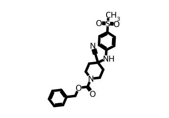 CS(=O)(=O)c1ccc(NC2(C#N)CCN(C(=O)OCc3ccccc3)CC2)cc1